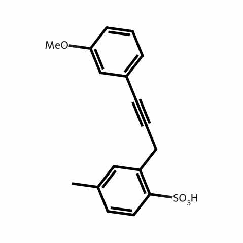 COc1cccc(C#CCc2cc(C)ccc2S(=O)(=O)O)c1